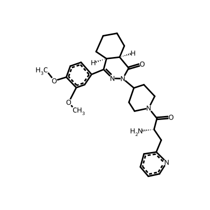 COc1ccc(C2=NN(C3CCN(C(=O)[C@@H](N)Cc4ccccn4)CC3)C(=O)[C@@H]3CCCC[C@H]23)cc1OC